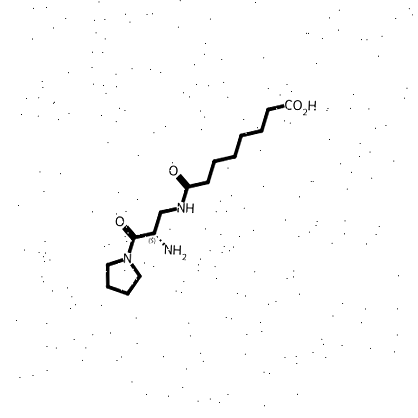 N[C@@H](CNC(=O)CCCCCCC(=O)O)C(=O)N1CCCC1